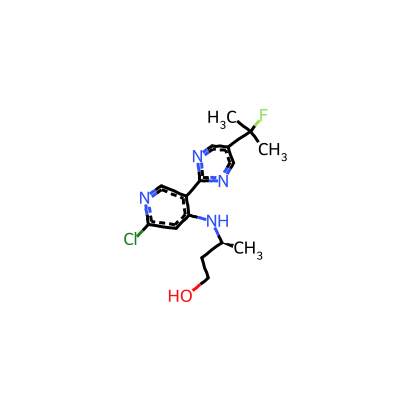 C[C@@H](CCO)Nc1cc(Cl)ncc1-c1ncc(C(C)(C)F)cn1